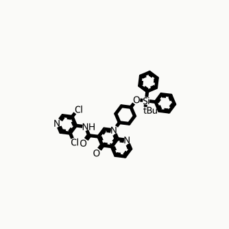 CC(C)(C)[Si](OC1CCC(n2cc(C(=O)Nc3c(Cl)cncc3Cl)c(=O)c3cccnc32)CC1)(c1ccccc1)c1ccccc1